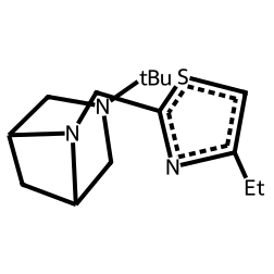 CCc1csc(CN2C3CC2CN(C(C)(C)C)C3)n1